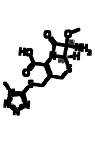 CO[C@@]1(N)C(=O)N2C(C(=O)O)=C(CSc3nnnn3C)CS[C@@H]21